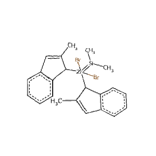 CC1=Cc2ccccc2[CH]1[Zr]([Br])([Br])([CH]1C(C)=Cc2ccccc21)=[Si](C)C